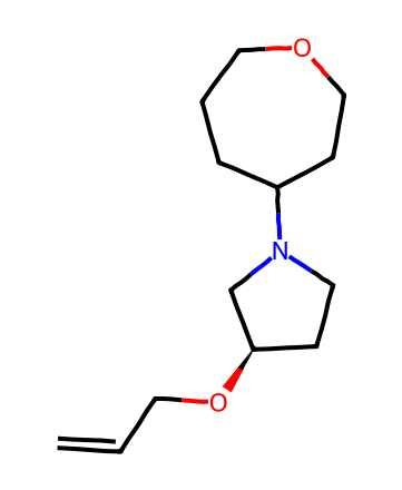 C=CCO[C@@H]1CCN(C2CCCOCC2)C1